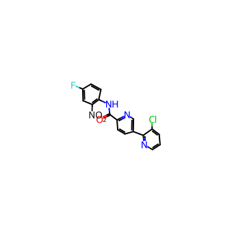 O=C(Nc1ccc(F)cc1[N+](=O)[O-])c1ccc(-c2ncccc2Cl)cn1